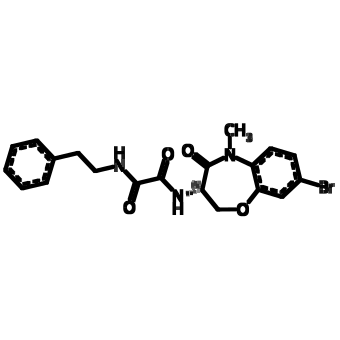 CN1C(=O)[C@@H](NC(=O)C(=O)NCCc2ccccc2)COc2cc(Br)ccc21